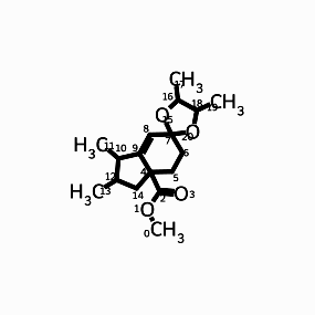 COC(=O)C12CCC3(C=C1C(C)C(C)C2)OC(C)C(C)O3